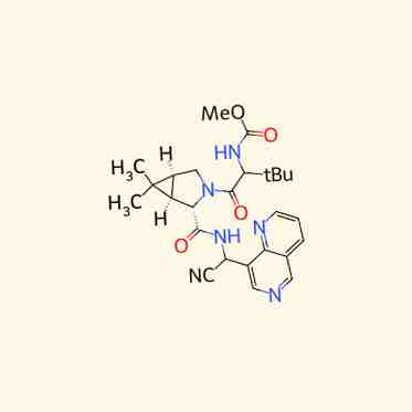 COC(=O)NC(C(=O)N1C[C@H]2[C@@H]([C@H]1C(=O)NC(C#N)c1cncc3cccnc13)C2(C)C)C(C)(C)C